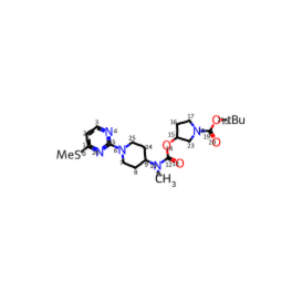 CSc1ccnc(N2CCC(N(C)C(=O)OC3CCN(C(=O)OC(C)(C)C)C3)CC2)n1